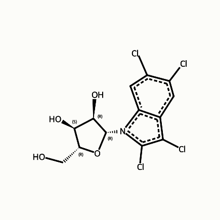 OC[C@H]1O[C@@H](n2c(Cl)c(Cl)c3cc(Cl)c(Cl)cc32)[C@H](O)[C@@H]1O